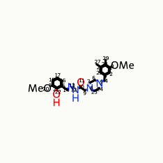 COc1cc(CN2CCN(CC(=O)N/N=C/c3cccc(OC)c3O)CC2)cc(C)c1C